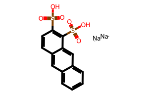 O=S(=O)(O)c1ccc2cc3ccccc3cc2c1S(=O)(=O)O.[Na].[Na]